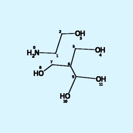 NCCO.OCC(CO)C(O)O